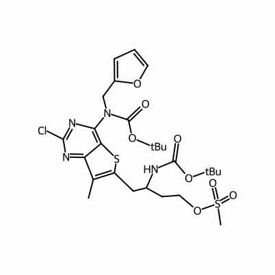 Cc1c(CC(CCOS(C)(=O)=O)NC(=O)OC(C)(C)C)sc2c(N(Cc3ccco3)C(=O)OC(C)(C)C)nc(Cl)nc12